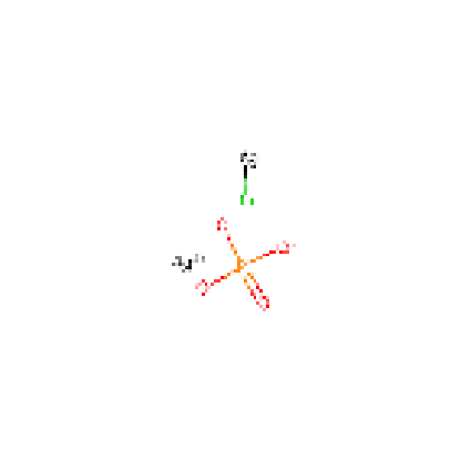 O=P([O-])([O-])[O-].[Ag+3].[Cl][Ag]